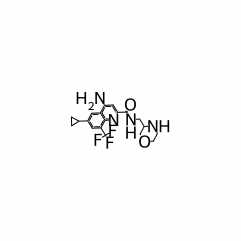 Nc1cc(C(=O)NCC2COCCN2)nc2c(C(F)(F)F)cc(C3CC3)cc12